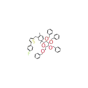 CC1=C(Cc2ccc(-c3ccc(F)cc3)s2)CC(C)([C@@H]2O[C@H](COCc3ccccc3)[C@@H](OCc3ccccc3)[C@H](OCc3ccccc3)[C@H]2OCc2ccccc2)C=C1